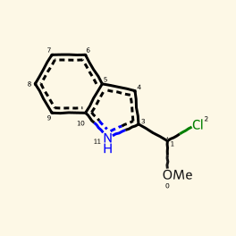 CO[C](Cl)c1cc2ccccc2[nH]1